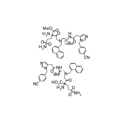 CC[C@H](C)[C@@H](CN(CC(=O)[C@@](N)(CCS(N)(=O)=O)C(=O)O)Cc1cccc2ccccc12)NC(=O)Cc1cncn1Cc1ccc(C#N)cc1.CC[C@H](C)[C@@H](CN(CC(=O)[C@@](N)(CCS(N)(=O)=O)C(=O)OC)Cc1cccc2ccccc12)NC(=O)Cc1cncn1Cc1ccc(C#N)cc1